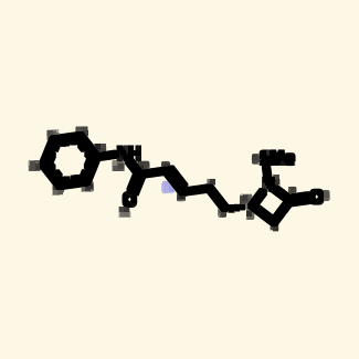 CSN1C(=O)C[C@@H]1CC/C=C/C(=O)Nc1ccccc1